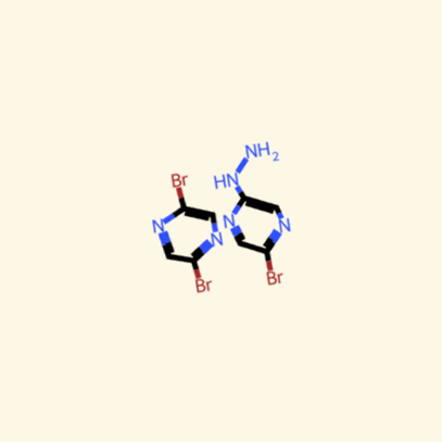 Brc1cnc(Br)cn1.NNc1cnc(Br)cn1